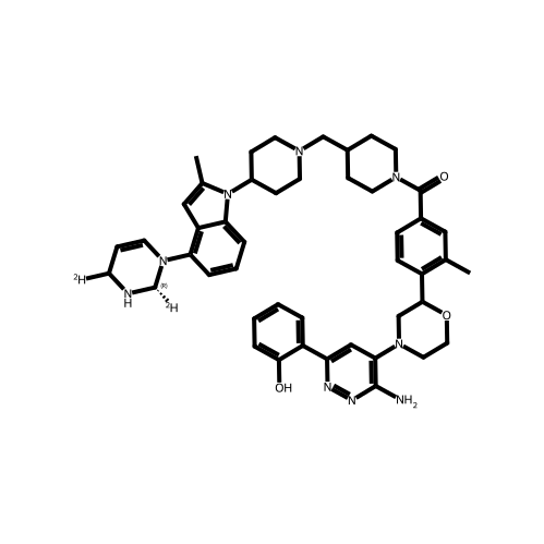 [2H]C1C=CN(c2cccc3c2cc(C)n3C2CCN(CC3CCN(C(=O)c4ccc(C5CN(c6cc(-c7ccccc7O)nnc6N)CCO5)c(C)c4)CC3)CC2)[C@H]([2H])N1